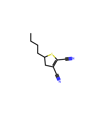 CCCCC1CC(C#N)=C(C#N)S1